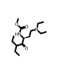 CCC(CC)C(=O)[C@H](CCN(CC)CC)NC(=O)OC